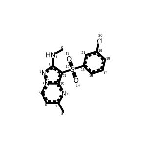 CNc1nn2ccc(C)nc2c1S(=O)(=O)c1cccc(Cl)c1